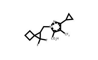 O=C(O)c1c(C(F)(F)F)c(C2CC2)nn1CC1C(F)(F)C12CCC2